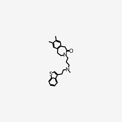 Cc1cc2c(cc1C)CC(=O)N(CCCN(C)CCc1csc3ccccc13)CC2